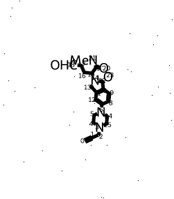 C#CCN1CCN(c2ccc3c(c2)CN(C(CCC=O)C(=O)NC)C3=O)CC1